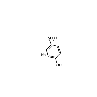 O=S(=O)(O)c1ccc(O)cc1.[Na]